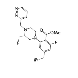 COC(=O)c1c(F)cc(CC(C)C)cc1N1CCN(Cc2cccnn2)[C@@H](CF)C1